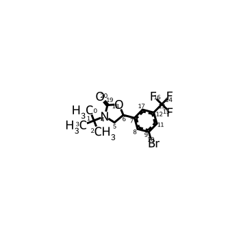 CC(C)(C)N1CC(c2cc(Br)cc(C(F)(F)F)c2)OC1=O